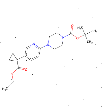 CCOC(=O)C1(c2ccc(N3CCN(C(=O)OC(C)(C)C)CC3)nc2)CC1